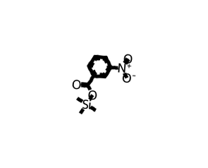 C[Si](C)(C)OC(=O)c1cccc([N+](=O)[O-])c1